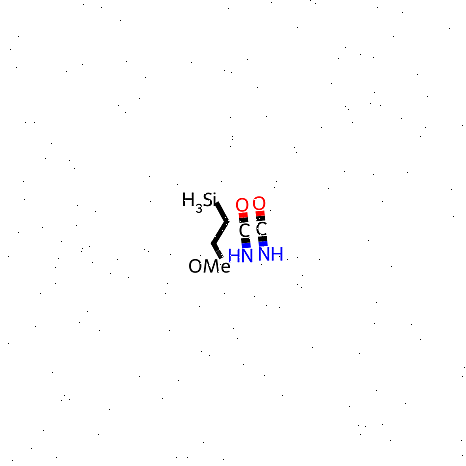 COCC[SiH3].N=C=O.N=C=O